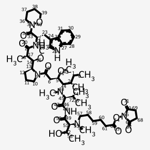 CC[C@H](C)[C@@H]([C@@H](CC(=O)N1CCC[C@H]1[C@H](OC)[C@@H](C)C(=O)N[C@@H](Cc1c[nH]c2ccccc12)C(=O)N1CCCCO1)OC)N(C)[C@H](C(=O)NC(=O)[C@H]([C@@H](C)O)N(C)CCCCCC(=O)ON1C(=O)CCC1=O)C(C)C